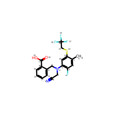 Cc1cc(F)c(N(CC#N)Cc2ccccc2C(=O)O)cc1SCC(F)(F)F